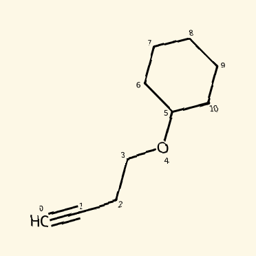 C#CCCOC1CCCCC1